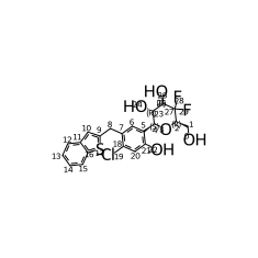 OC[C@H]1O[C@@H](c2cc(Cc3cc4ccccc4s3)c(Cl)cc2O)[C@H](O)[C@@H](O)C1(F)F